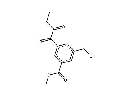 CCC(=O)C(=N)c1cc(CO)cc(C(=O)OC)c1